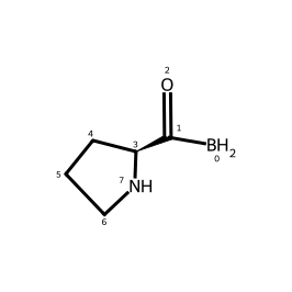 BC(=O)[C@@H]1CCCN1